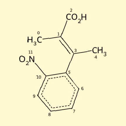 CC(C(=O)O)=C(C)c1ccccc1[N+](=O)[O-]